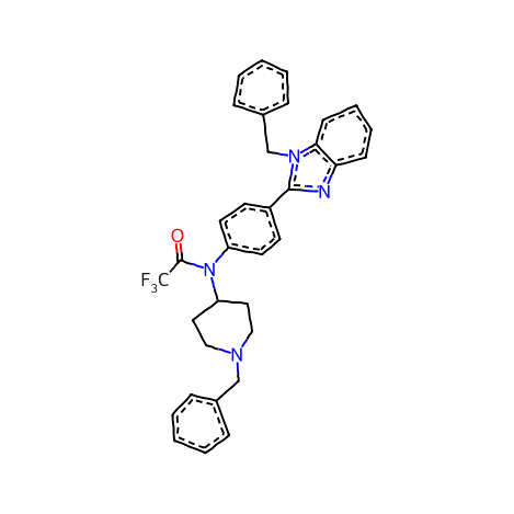 O=C(N(c1ccc(-c2nc3ccccc3n2Cc2ccccc2)cc1)C1CCN(Cc2ccccc2)CC1)C(F)(F)F